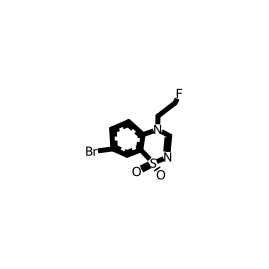 O=S1(=O)N=CN(CCF)c2ccc(Br)cc21